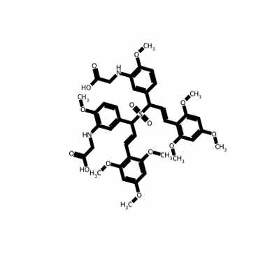 COc1cc(OC)c(C=CC(c2ccc(OC)c(NCC(=O)O)c2)S(=O)(=O)C(C=Cc2c(OC)cc(OC)cc2OC)c2ccc(OC)c(NCC(=O)O)c2)c(OC)c1